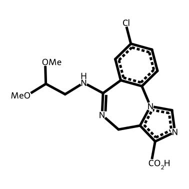 COC(CNC1=NCc2c(C(=O)O)ncn2-c2ccc(Cl)cc21)OC